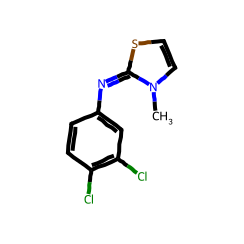 Cn1ccsc1=Nc1ccc(Cl)c(Cl)c1